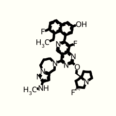 CCc1c(F)ccc2cc(O)cc(-c3ncc4c(N5CCCn6nc(NC)cc6C5)nc(OC[C@@]56CCCN5C[C@H](F)C6)nc4c3F)c12